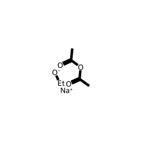 CC(=O)OC(C)=O.CC[O-].[Na+]